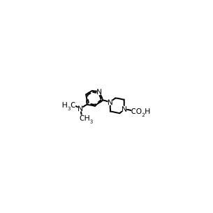 CN(C)c1ccnc(N2CCN(C(=O)O)CC2)c1